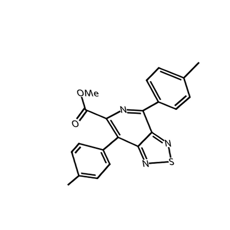 COC(=O)c1nc(-c2ccc(C)cc2)c2nsnc2c1-c1ccc(C)cc1